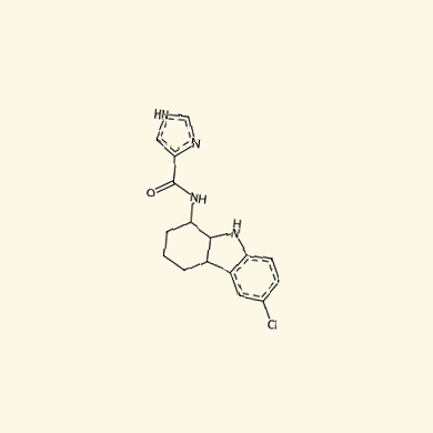 O=C(NC1CCCC2c3cc(Cl)ccc3NC12)c1c[nH]cn1